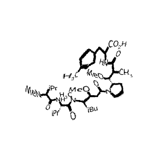 CC[C@H](C)C(C(CC(=O)N1CCC[C@H]1C(OC)C(C)C(=O)NC(Cc1ccc(C)cc1)C(=O)O)OC)N(C)C(=O)[C@@H](NC(=O)C(NC)C(C)C)C(C)C